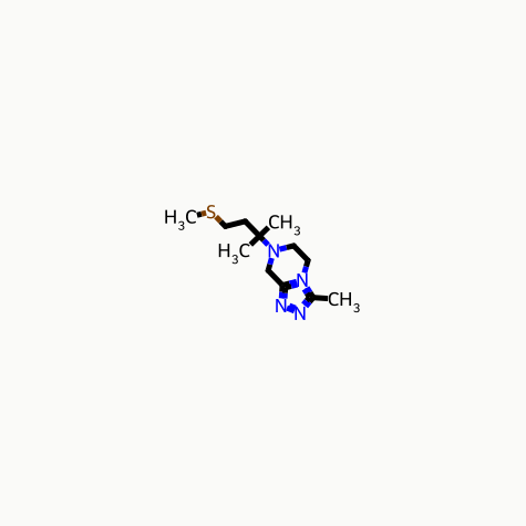 CSCCC(C)(C)N1CCn2c(C)nnc2C1